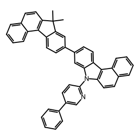 CC1(C)c2cc(-c3ccc4c5c6ccccc6ccc5n(-c5ccc(-c6ccccc6)cn5)c4c3)ccc2-c2c1ccc1ccccc21